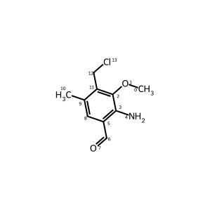 COc1c(N)c(C=O)cc(C)c1CCl